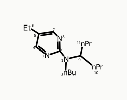 CCCCN(c1ncc(CC)cn1)C(CCC)CCC